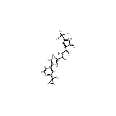 CC(NC(=O)c1cc(C(F)(F)F)nn1C)c1nc(-c2ccnc(C3(C)CC3)c2)no1